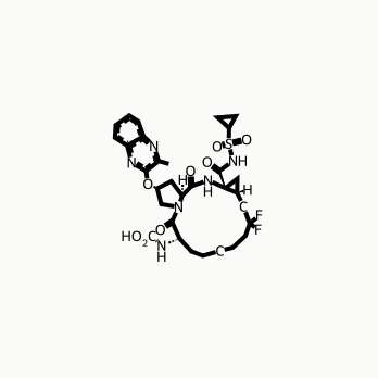 Cc1nc2ccccc2nc1O[C@@H]1C[C@H]2C(=O)N[C@]3(C(=O)NS(=O)(=O)C4CC4)C[C@H]3CC(F)(F)CCCCC[C@H](NC(=O)O)C(=O)N2C1